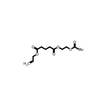 C=CCOC(=O)CCCC(=O)OCCOC(=O)C(C)CC